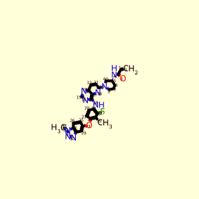 C=CC(=O)N[C@@H]1CCCN(c2ccc3ncnc(Nc4ccc(Oc5ccc6c(c5)nnn6C)c(C)c4F)c3n2)C1